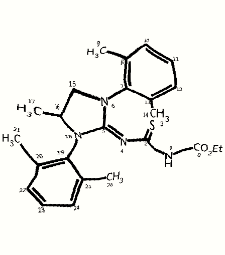 CCOC(=O)NC(=S)N=C1N(c2c(C)cccc2C)CC(C)N1c1c(C)cccc1C